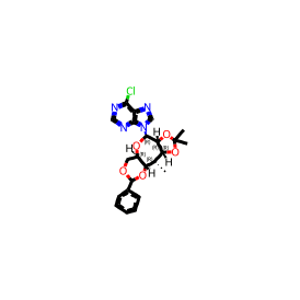 C[C@H]1[C@H]2OC(C)(C)O[C@H]2[C@H](n2cnc3c(Cl)ncnc32)O[C@@H]2COC(c3ccccc3)O[C@@H]12